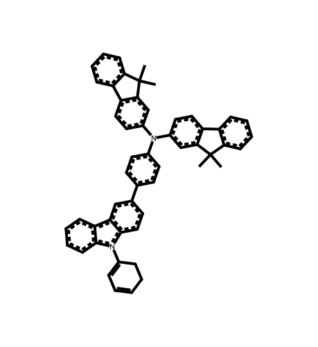 CC1(C)c2ccccc2-c2ccc(N(c3ccc(-c4ccc5c(c4)c4ccccc4n5C4=CC=CCC4)cc3)c3ccc4c(c3)C(C)(C)c3ccccc3-4)cc21